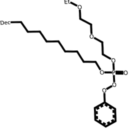 CCCCCCCCCCCCCCCCCCCOP(=O)(OCCOCCOCC)OOc1ccccc1